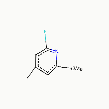 COc1cc(C)cc(F)n1